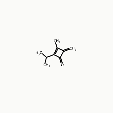 C=C1C(=O)C(C(C)C)=C1C